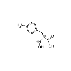 Nc1ccc(C[C@H](NO)C(=O)O)cc1